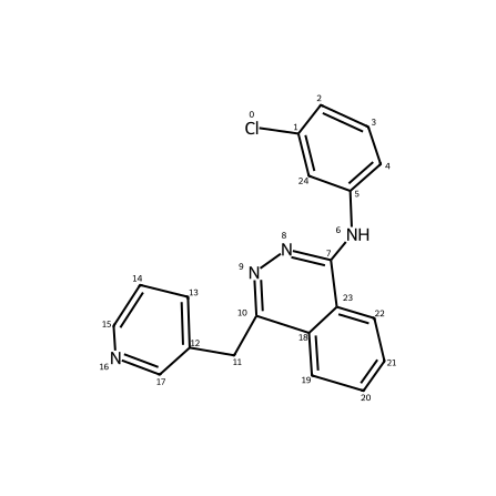 Clc1cccc(Nc2nnc(Cc3cccnc3)c3ccccc23)c1